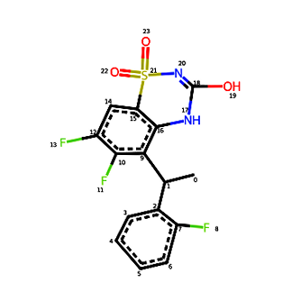 CC(c1ccccc1F)c1c(F)c(F)cc2c1NC(O)=NS2(=O)=O